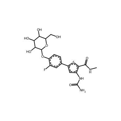 CNC(=O)c1sc(-c2ccc(OC3OC(CO)C(O)C(O)C3O)c(F)c2)cc1NC(N)=O